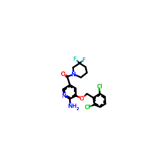 Nc1ncc(C(=O)N2CCCC(F)(F)C2)cc1OCc1c(Cl)cccc1Cl